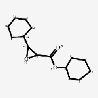 O=C(OC1CCCCC1)C1OC1C1CCCCC1